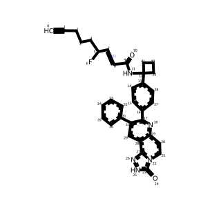 C#CCCCC(F)/C=C/C(=O)NC1(c2ccc(-c3nc4ccn5c(=O)[nH]nc5c4cc3-c3ccccc3)cc2)CCC1